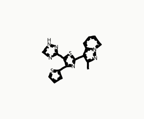 Cc1nn2ccccc2c1-c1nc(-c2cccs2)c(-c2nc[nH]n2)s1